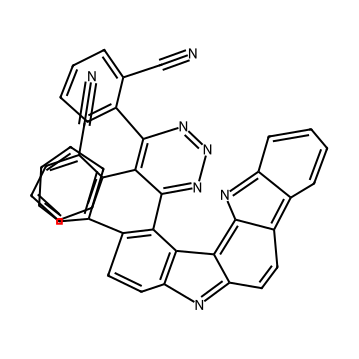 N#Cc1ccccc1-c1nnnc(-c2c(-c3ccccc3)ccc3c2-c2c4c(ccc2=N3)=c2ccccc2=N4)c1-c1ccccc1C#N